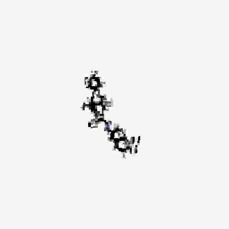 O=C1CCc2cc(/C=C/C(=O)N3C[C@@H]4CN(c5cccnc5)C[C@@H]4C3)cnc2N1